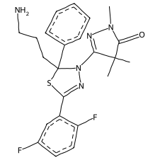 CN1N=C(N2N=C(c3cc(F)ccc3F)SC2(CCCN)c2ccccc2)C(C)(C)C1=O